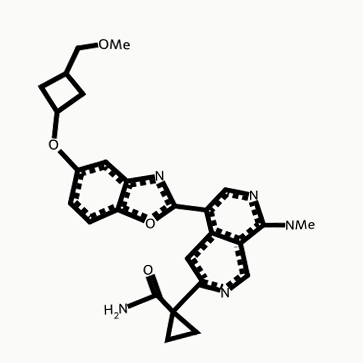 CNc1ncc(-c2nc3cc(OC4CC(COC)C4)ccc3o2)c2cc(C3(C(N)=O)CC3)ncc12